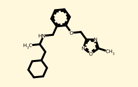 Cc1nc(COc2ccccc2CNC(C)CC2CCCCC2)no1